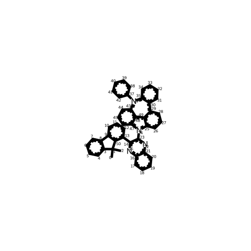 CC1(C)c2ccccc2-c2cccc(-c3nc4ccccc4nc3-n3c4cccc5c6ccccc6n(-c6ccccc6)c6cccc3c6c54)c21